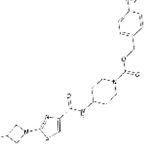 O=C(NC1CCN(C(=O)OCc2ccc([N+](=O)[O-])cc2)CC1)c1csc(N2CC(O)C2)n1